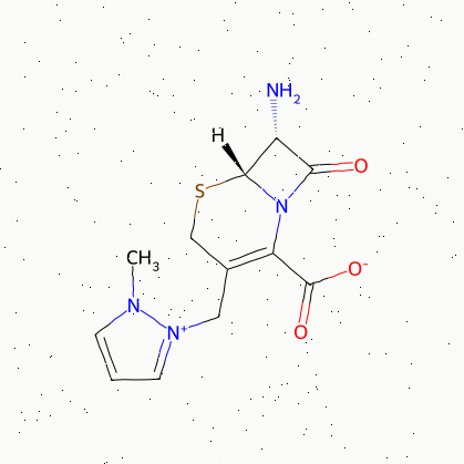 Cn1ccc[n+]1CC1=C(C(=O)[O-])N2C(=O)[C@@H](N)[C@H]2SC1